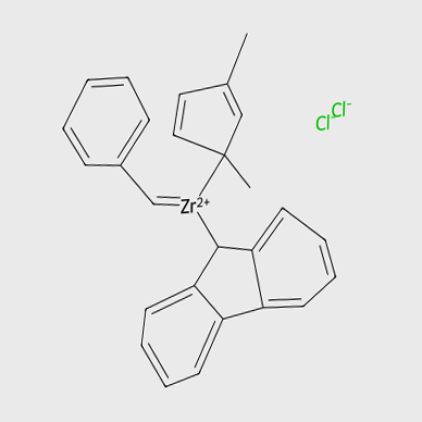 CC1=C[C](C)(/[Zr+2](=[CH]\c2ccccc2)[CH]2c3ccccc3-c3ccccc32)C=C1.[Cl-].[Cl-]